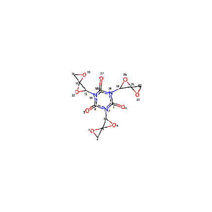 O=c1n(C2OC23CO3)c(=O)n(C2OC23CO3)c(=O)n1C1OC12CO2